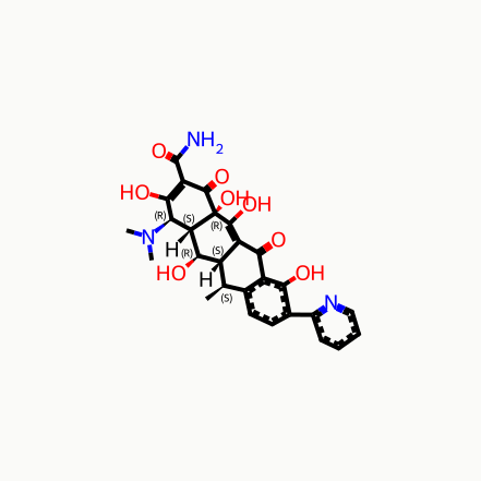 C[C@@H]1c2ccc(-c3ccccn3)c(O)c2C(=O)C2=C(O)[C@@]3(O)C(=O)C(C(N)=O)=C(O)[C@H](N(C)C)[C@H]3[C@H](O)[C@H]21